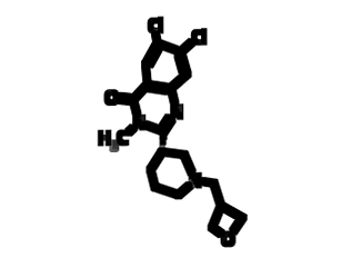 Cn1c([C@H]2CCCN(CC3COC3)C2)nc2cc(Cl)c(Cl)cc2c1=O